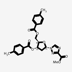 COC(=O)c1ncn([C@@H]2C[C@H](OC(=O)c3ccc(C)cc3)[C@@H](COC(=O)c3ccc(C)cc3)O2)n1